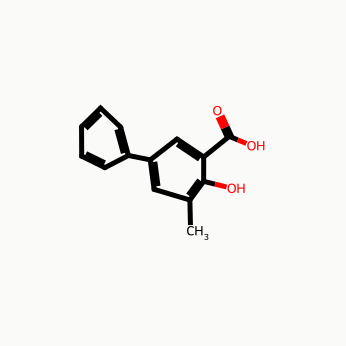 Cc1cc(-c2ccccc2)cc(C(=O)O)c1O